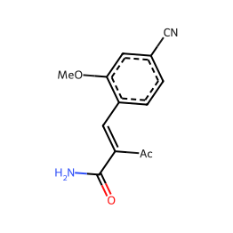 COc1cc(C#N)ccc1/C=C(\C(C)=O)C(N)=O